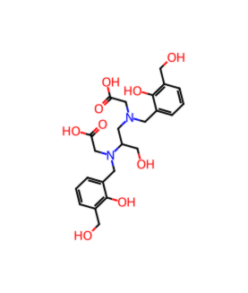 O=C(O)CN(Cc1cccc(CO)c1O)CC(CO)N(CC(=O)O)Cc1cccc(CO)c1O